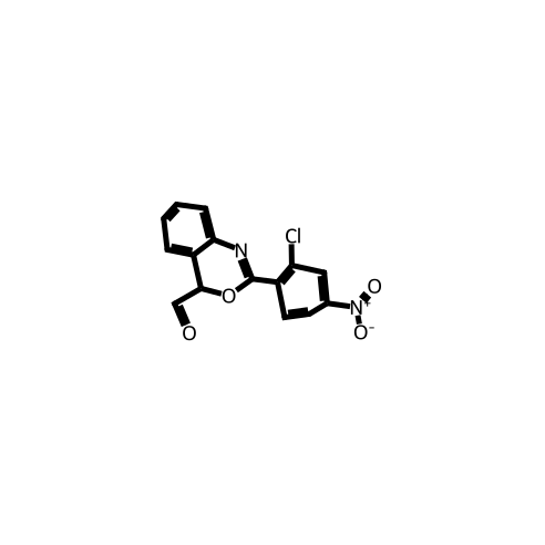 O=CC1OC(c2ccc([N+](=O)[O-])cc2Cl)=Nc2ccccc21